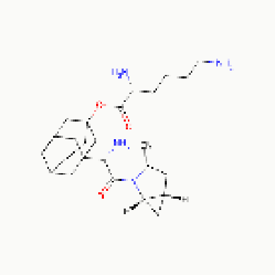 N#C[C@@H]1C[C@@H]2C[C@@H]2N1C(=O)[C@@H](N)C12CC3CC(CC(OC(=O)[C@H](N)CCCCN)(C3)C1)C2